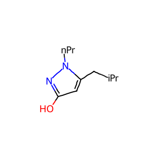 CCCn1nc(O)cc1CC(C)C